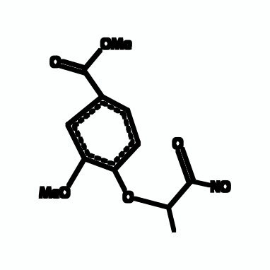 COC(=O)c1ccc(OC(C)C(=O)N=O)c(OC)c1